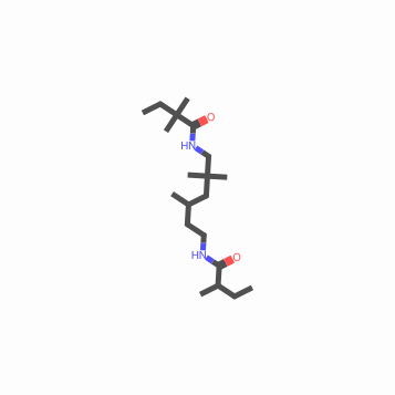 CCC(C)C(=O)NCCC(C)CC(C)(C)CNC(=O)C(C)(C)CC